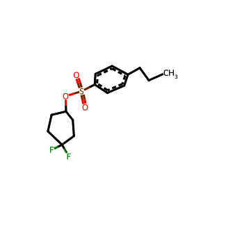 CCCc1ccc(S(=O)(=O)OC2CCC(F)(F)CC2)cc1